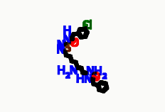 N/C(=C\C=C(/N)NC(=O)Cc1ccccc1)CCCCc1nnc(NC(=O)Cc2cccc(Cl)c2)s1